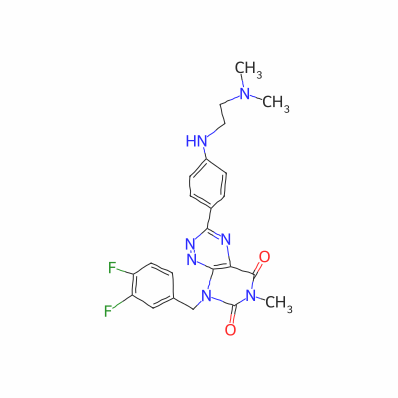 CN(C)CCNc1ccc(-c2nnc3c(n2)c(=O)n(C)c(=O)n3Cc2ccc(F)c(F)c2)cc1